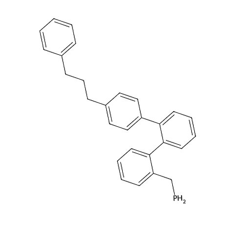 PCc1ccccc1-c1ccccc1-c1ccc(CCCc2ccccc2)cc1